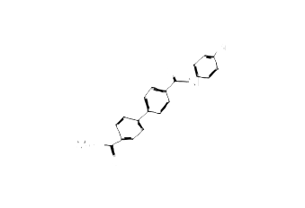 COC(=O)c1ccc(-c2ccc(C(=O)Nc3ccc(Br)cc3)cc2)cc1